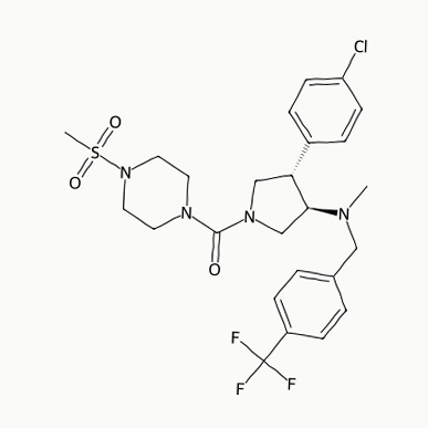 CN(Cc1ccc(C(F)(F)F)cc1)[C@H]1CN(C(=O)N2CCN(S(C)(=O)=O)CC2)C[C@@H]1c1ccc(Cl)cc1